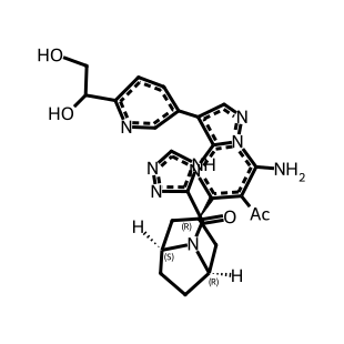 CC(=O)c1c([C@H]2C[C@H]3CC[C@@H](C2)N3C(=O)c2nnc[nH]2)nc2c(-c3ccc(C(O)CO)nc3)cnn2c1N